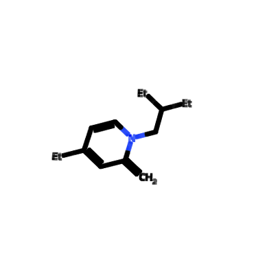 C=C1C=C(CC)C=CN1CC(CC)CC